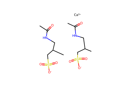 CC(=O)NCC(C)CS(=O)(=O)[O-].CC(=O)NCC(C)CS(=O)(=O)[O-].[Ca+2]